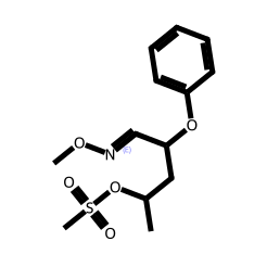 CO/N=C/C(CC(C)OS(C)(=O)=O)Oc1ccccc1